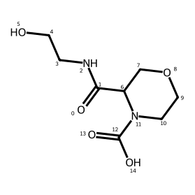 O=C(NCCO)C1COCCN1C(=O)O